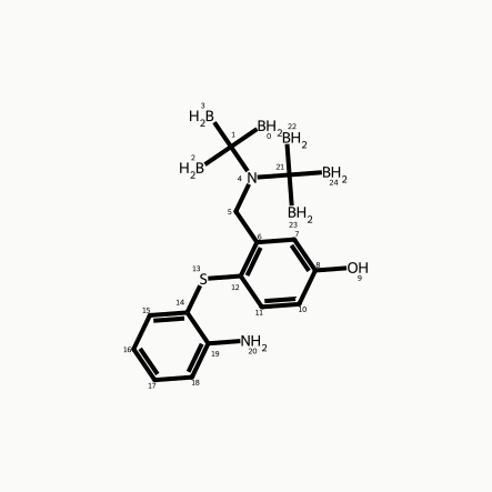 BC(B)(B)N(Cc1cc(O)ccc1Sc1ccccc1N)C(B)(B)B